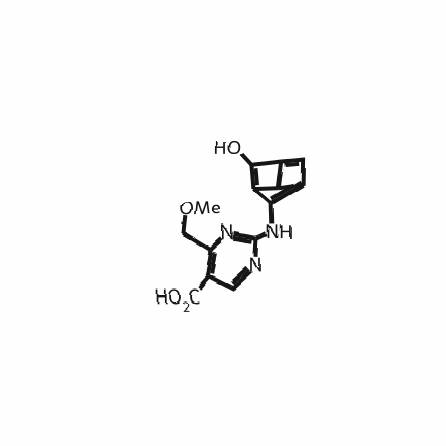 COCc1nc(NC2=C3C=C4C(O)=C2C43)ncc1C(=O)O